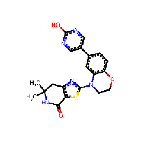 CC1(C)Cc2nc(N3CCOc4ccc(-c5cnc(O)nc5)cc43)sc2C(=O)N1